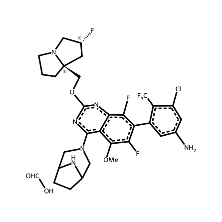 COc1c(F)c(-c2cc(N)cc(Cl)c2C(F)(F)F)c(F)c2nc(OC[C@@]34CCCN3C[C@H](F)C4)nc(N3CC4CCC(C3)N4)c12.O=CO